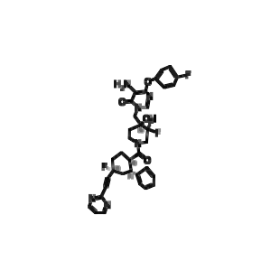 Nc1c(Oc2ccc(F)cc2)ncn(C[C@@]2(O)CCN(C(=O)[C@@H]3CC[C@](F)(C#Cc4ncccn4)C[C@H]3c3ccccc3)CC2(F)F)c1=O